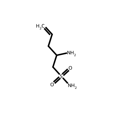 C=CCC(N)CS(N)(=O)=O